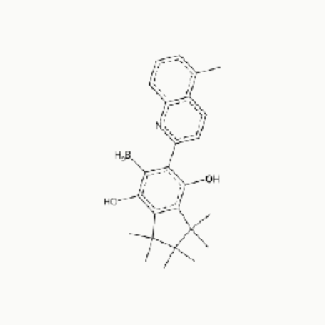 Bc1c(O)c2c(c(O)c1-c1ccc3c(C)cccc3n1)C(C)(C)C(C)(C)C2(C)C